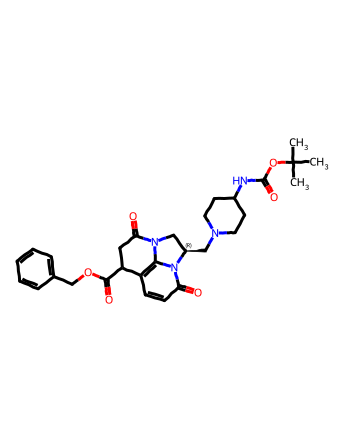 CC(C)(C)OC(=O)NC1CCN(C[C@@H]2CN3C(=O)CC(C(=O)OCc4ccccc4)c4ccc(=O)n2c43)CC1